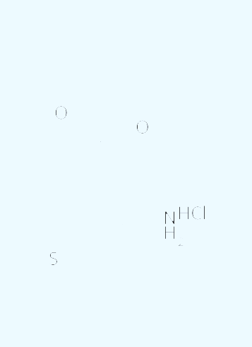 COC(=O)C1CSC=C1N.Cl